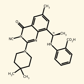 Cc1cc([C@@H](C)Nc2ccccc2C(=O)O)c2nc(N3CCC(C)(C)CC3)n(C#N)c(=O)c2c1